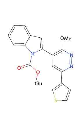 COc1nnc(-c2ccsc2)cc1-c1cc2ccccc2n1C(=O)OC(C)(C)C